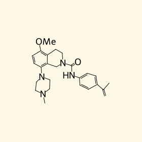 C=C(C)c1ccc(NC(=O)N2CCc3c(OC)ccc(N4CCN(C)CC4)c3C2)cc1